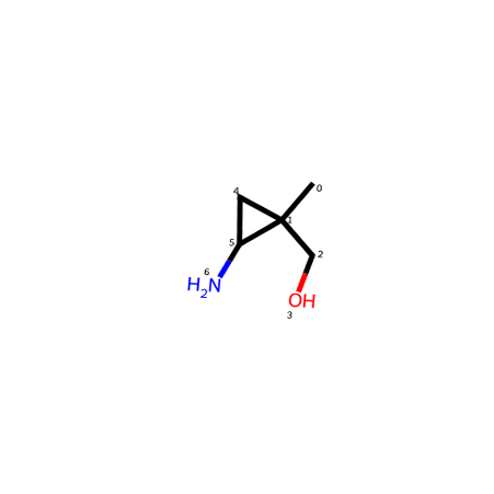 CC1(CO)CC1N